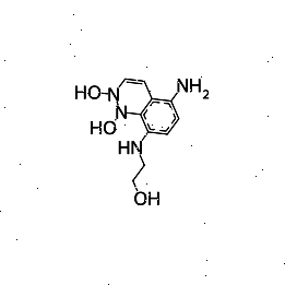 Nc1ccc(NCCO)c2c1C=CN(O)N2O